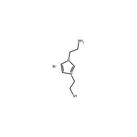 NCCn1cc[n+](CCS)c1.[Br-]